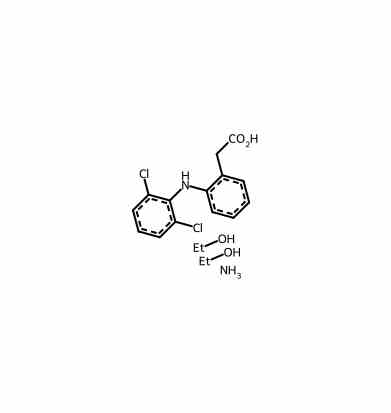 CCO.CCO.N.O=C(O)Cc1ccccc1Nc1c(Cl)cccc1Cl